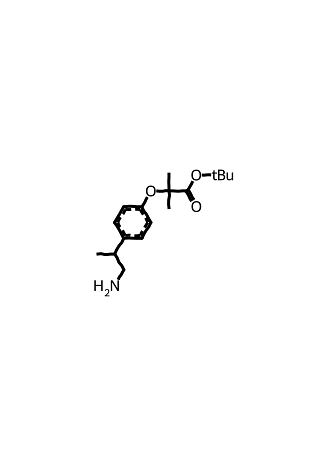 CC(CN)c1ccc(OC(C)(C)C(=O)OC(C)(C)C)cc1